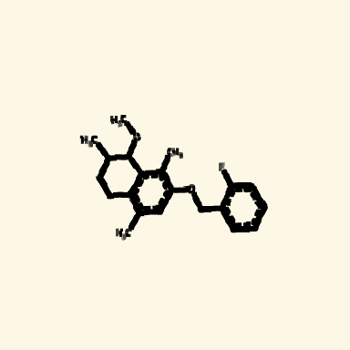 COC1c2c(C)c(OCc3ccccc3F)cc(C)c2CCC1C